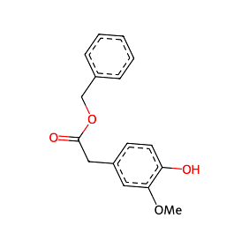 COc1cc(CC(=O)OCc2ccccc2)ccc1O